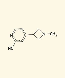 CN1CC(c2ccnc(C#N)c2)C1